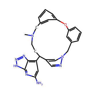 CN1CCC(c2cc(N)nc3[nH]nnc23)c2cnn(c2)Cc2cccc(c2)Oc2cccc(c2)C1